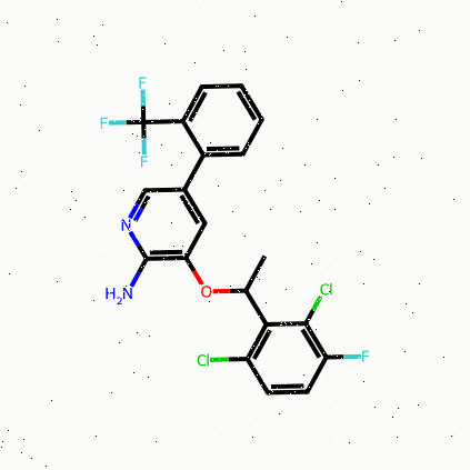 CC(Oc1cc(-c2ccccc2C(F)(F)F)cnc1N)c1c(Cl)ccc(F)c1Cl